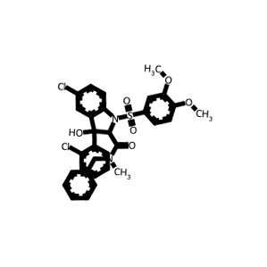 COc1ccc(S(=O)(=O)N2c3ccc(Cl)cc3C(O)(c3ccccc3Cl)C2C(=O)N(C)Cc2ccccc2)cc1OC